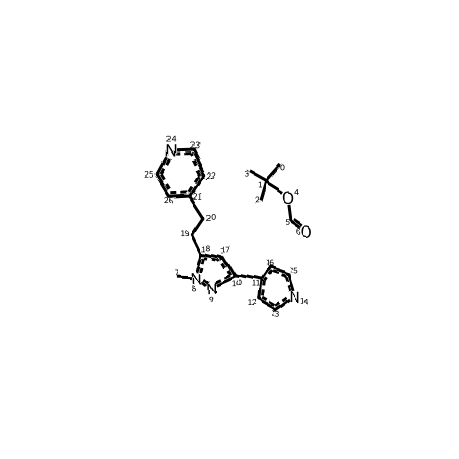 CC(C)(C)OC=O.Cn1nc(-c2ccncc2)cc1CCc1ccncc1